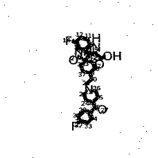 NC(=O)C1(c2c(C(=O)O)[nH]c3ccc(F)cc23)CCC(CCN2CCC(C(=O)c3ccc(F)cc3)CC2)CC1